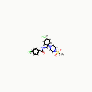 CCCS(=O)(=O)N1CCN(C2(CNC(=O)c3ccc(Cl)cc3)CCCCC2)CC1.Cl